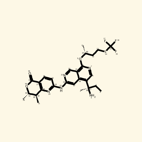 CC[C@@](C)(N)c1cnc(O[C@H](C)CCSC(F)(F)F)c2cnc(Nc3ccc4c(n3)[C@@H](C)[C@H](C)OC4=O)cc12